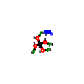 FO[Si](OF)(OF)OF.N